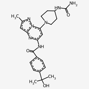 Cc1cc2nc(NC(=O)c3ccc(C(C)(C)O)cc3)cc(N3CCC(NC(N)=O)CC3)n2n1